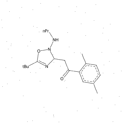 CCCNN1OC(C(C)(C)C)=NC1CC(=O)c1cc(C)ccc1C